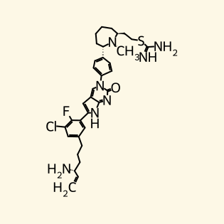 C=C[C@H](N)CCCc1cc(Cl)c(F)c(-c2cc3cn(-c4ccc([C@@H]5CCCC[C@@H](CCSC(=N)N)N5C)cc4)c(=O)nc3[nH]2)c1